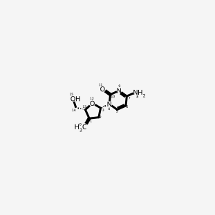 C=C1C[C@@H](n2ccc(N)nc2=O)O[C@H]1CO